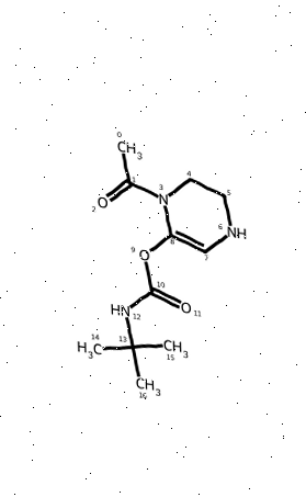 CC(=O)N1CCNC=C1OC(=O)NC(C)(C)C